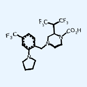 O=C(O)N1CCN(Cc2ccc(C(F)(F)F)cc2N2CCCC2)CC1C(C(F)(F)F)C(F)(F)F